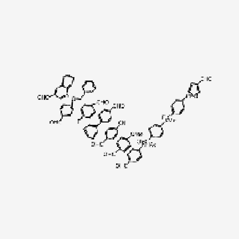 CC(=O)Nc1ccc(C=O)cc1.COc1ccc(C=O)cc1.CSc1ccc(C=O)cc1.N#Cc1ccc(C=O)cc1.O=Cc1ccc(-c2ccccc2)cc1.O=Cc1ccc(C(F)(F)F)cc1.O=Cc1ccc(F)cc1.O=Cc1ccc(OCc2ccccc2)cc1.O=Cc1ccsc1.O=Cc1cnc2ccccc2c1